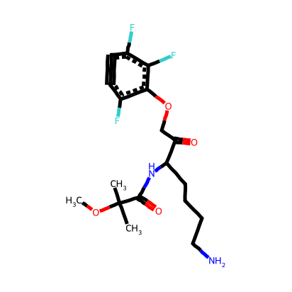 COC(C)(C)C(=O)NC(CCCCN)C(=O)COc1c(F)c#cc(F)c1F